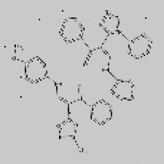 COc1ccc(NC=C(C(=O)c2ccccc2)c2cc(C)no2)cc1.O=C(C(=CNc1ccccc1)c1nnnn1-c1ccccc1)c1ccccc1